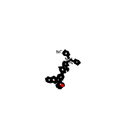 CC1(C)c2cc(-c3ccc4c(c3)-c3cc5ccccc5cc3C43C4CC5CC(C4)CC3C5)ccc2-c2ccc(-c3nc(-c4ccccc4)nc(-c4cccc(C#N)c4)n3)cc21